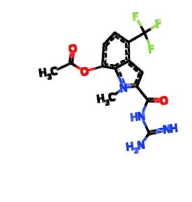 CC(=O)Oc1ccc(C(F)(F)F)c2cc(C(=O)NC(=N)N)n(C)c12